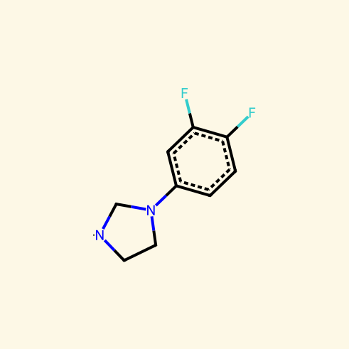 Fc1ccc(N2CC[N]C2)cc1F